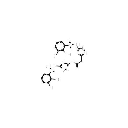 Cc1c(Cl)cccc1S(=O)(=O)Nc1nnc(CC(=O)Oc2nnc(NS(=O)(=O)c3cccc(Cl)c3C)s2)s1